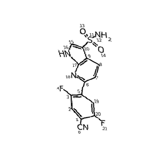 N#Cc1cc(F)c(-c2ccc3c(S(N)(=O)=O)c[nH]c3n2)cc1F